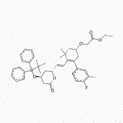 CCOC(=O)COC1CC(c2ccc(F)c(C)c2)=C(C=C[C@H]2C[C@H](O[Si](c3ccccc3)(c3ccccc3)C(C)(C)C)CC(=O)O2)C(C)(C)C1